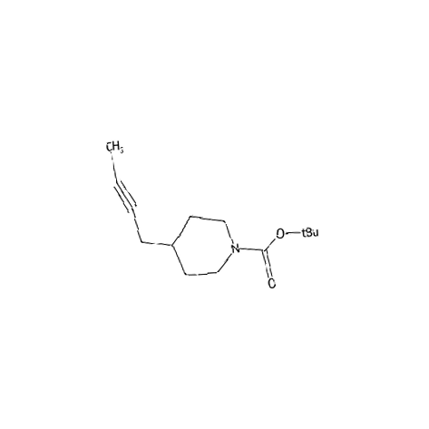 CC#CCC1CCN(C(=O)OC(C)(C)C)CC1